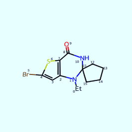 CCN1c2cc(Br)sc2C(=O)NC12CCCC2